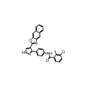 Cc1c(Cl)cccc1C(=O)Nc1ccc(-c2n[nH]cc2-c2nc3cc4ccccc4cc3o2)cc1